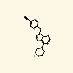 C#Cc1ccc(Cn2cnc3c(N4CCNCC4)ncnc32)nc1